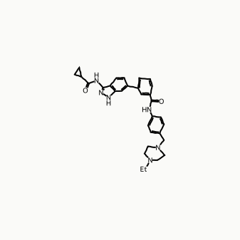 CCN1CCN(Cc2ccc(NC(=O)c3cccc(-c4ccc5c(NC(=O)C6CC6)n[nH]c5c4)c3)cc2)CC1